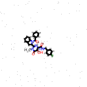 Cn1c(C2Cc3ccccc3N2C(=O)c2ccccc2)nc(C(=O)NCc2ccc(F)cc2)c(O)c1=O